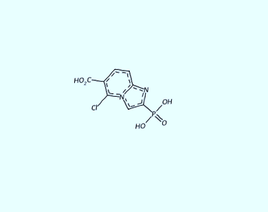 O=C(O)c1ccc2nc(P(=O)(O)O)cn2c1Cl